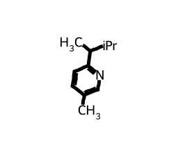 Cc1ccc(C(C)C(C)C)nc1